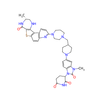 C[C@@H]1CNc2c(sc3ccc4nc(N5CCCN(CC6CCN(c7ccc8c(c7)n(C)c(=O)n8C7CCC(=O)NC7=O)CC6)CC5)ccc4c23)C(=O)N1